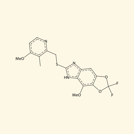 COc1ccnc(CSc2nc3cc4c(c(OC)c3[nH]2)OC(F)(F)O4)c1C